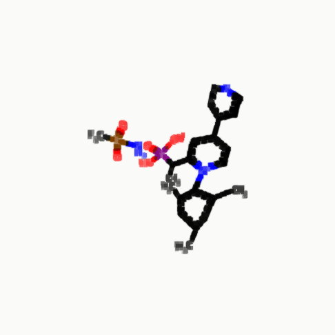 Cc1cc(C)c(-[n+]2ccc(-c3ccncc3)cc2C(C)P(=O)(O)O)c(C)c1.NS(=O)(=O)C(F)(F)F